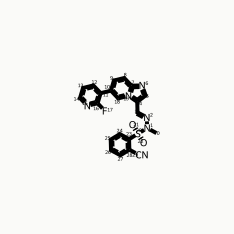 CN(N=Cc1cnc2ccc(-c3cccnc3F)cn12)S(=O)(=O)c1ccccc1C#N